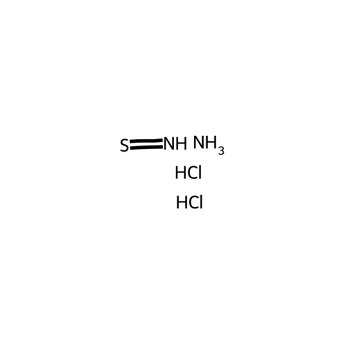 Cl.Cl.N.N=S